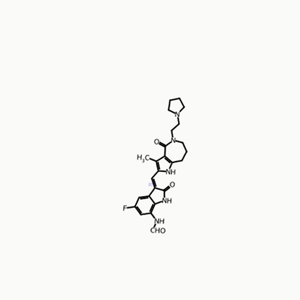 Cc1c(/C=C2\C(=O)Nc3c(NC=O)cc(F)cc32)[nH]c2c1C(=O)N(CCN1CCCC1)CCC2